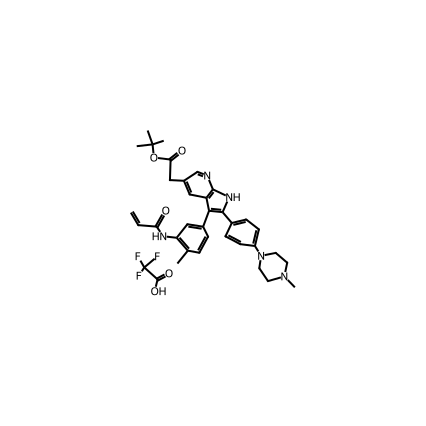 C=CC(=O)Nc1cc(-c2c(-c3ccc(N4CCN(C)CC4)cc3)[nH]c3ncc(CC(=O)OC(C)(C)C)cc23)ccc1C.O=C(O)C(F)(F)F